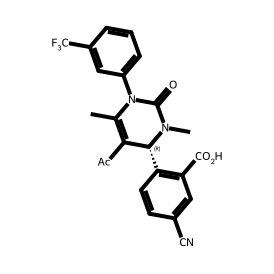 CC(=O)C1=C(C)N(c2cccc(C(F)(F)F)c2)C(=O)N(C)[C@@H]1c1ccc(C#N)cc1C(=O)O